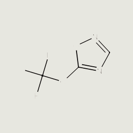 FC(F)(F)Oc1n[c]no1